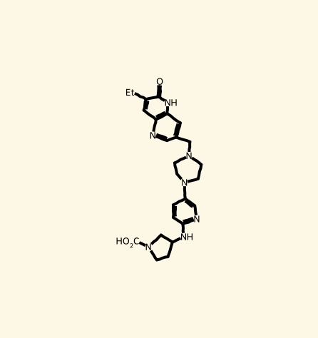 CCc1cc2ncc(CN3CCN(c4ccc(NC5CCN(C(=O)O)C5)nc4)CC3)cc2[nH]c1=O